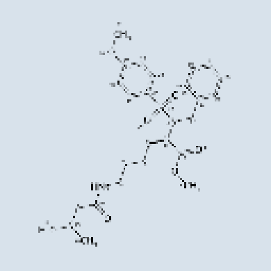 COC(=O)[C@@H](CCCCNC(=O)CN(C)C)N(Cc1ccccc1)S(=O)(=O)c1ccc(OC)cc1